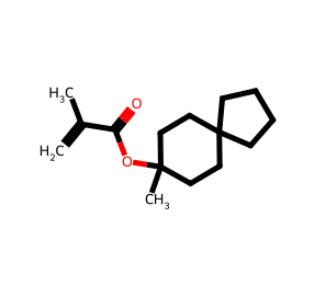 C=C(C)C(=O)OC1(C)CCC2(CCCC2)CC1